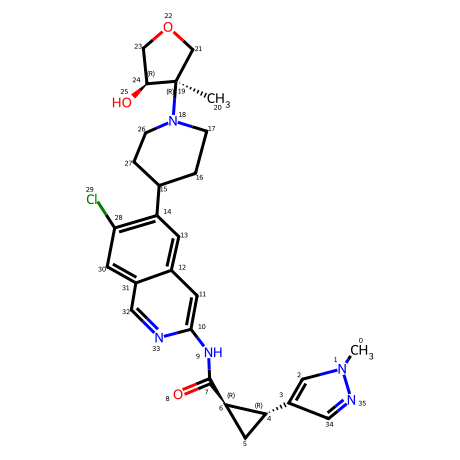 Cn1cc([C@@H]2C[C@H]2C(=O)Nc2cc3cc(C4CCN([C@]5(C)COC[C@@H]5O)CC4)c(Cl)cc3cn2)cn1